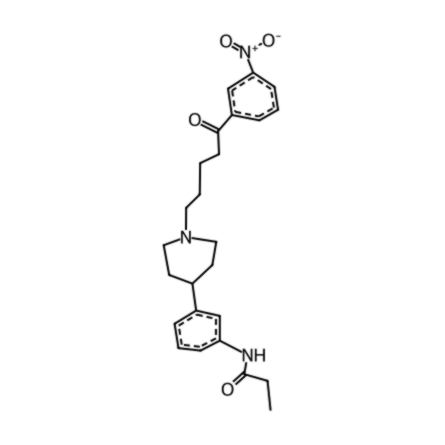 CCC(=O)Nc1cccc(C2CCN(CCCCC(=O)c3cccc([N+](=O)[O-])c3)CC2)c1